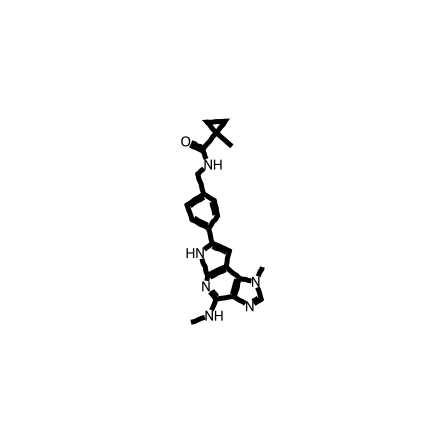 CNc1nc2[nH]c(-c3ccc(CNC(=O)C4(C)CC4)cc3)cc2c2c1ncn2C